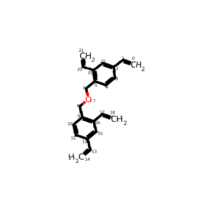 C=Cc1ccc(COCc2ccc(C=C)cc2C=C)c(C=C)c1